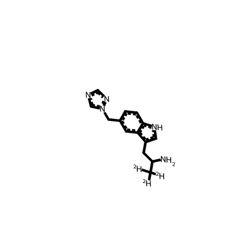 [2H]C([2H])([2H])C(N)Cc1c[nH]c2ccc(Cn3cncn3)cc12